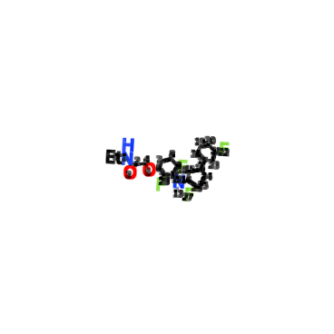 CCNC(=O)COc1ccc(F)c(N(C)c2cc(-c3cccc(F)c3)ccc2F)c1F